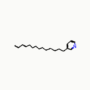 CCCCCCCCCCCCCCc1cccnc1